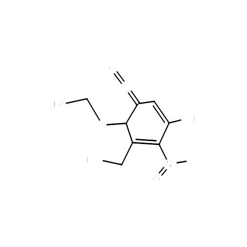 CCOC1C(=C=O)C=C(O)C([N+](=O)[O-])=C1CC